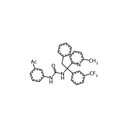 CC(=O)c1cccc(NC(=O)NC(Cc2ccccc2)(c2cccc(C(F)(F)F)c2)c2cccc(C)n2)c1